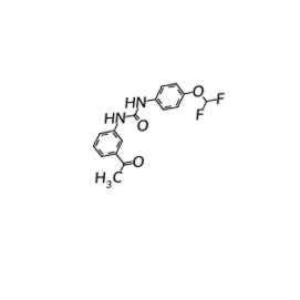 CC(=O)c1cccc(NC(=O)Nc2ccc(OC(F)F)cc2)c1